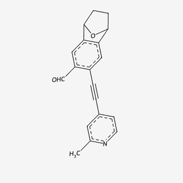 Cc1cc(C#Cc2cc3c(cc2C=O)C2CCC3O2)ccn1